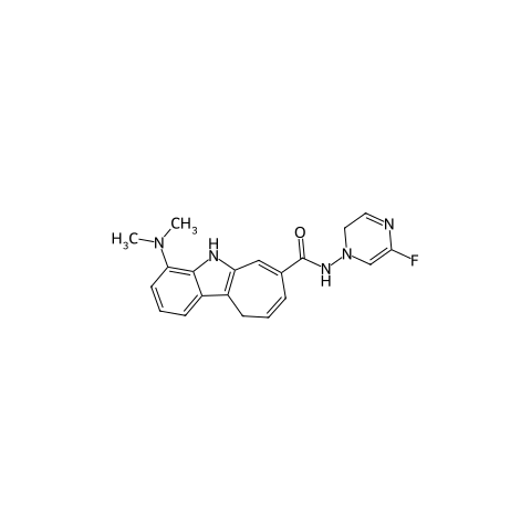 CN(C)c1cccc2c3c([nH]c12)C=C(C(=O)NN1C=C(F)N=CC1)C=CC3